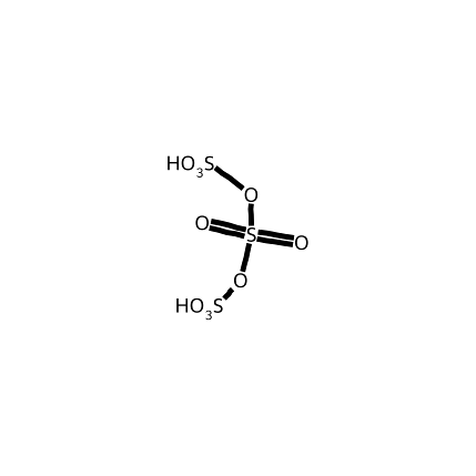 O=S(=O)(O)OS(=O)(=O)OS(=O)(=O)O